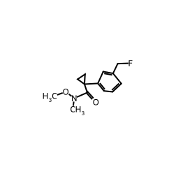 CON(C)C(=O)C1(c2cccc(CF)c2)CC1